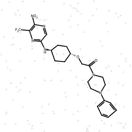 O=C(CO[C@H]1CC[C@H](Nc2cnc([N+](=O)[O-])c(C(F)(F)F)n2)CC1)N1CCN(c2ccccc2)CC1